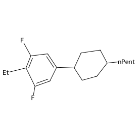 CCCCCC1CCC(c2cc(F)c(CC)c(F)c2)CC1